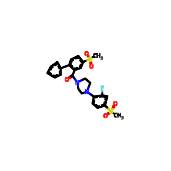 CS(=O)(=O)c1ccc(N2CCN(C(=O)c3cc(S(C)(=O)=O)ccc3-c3ccccc3)CC2)c(F)c1